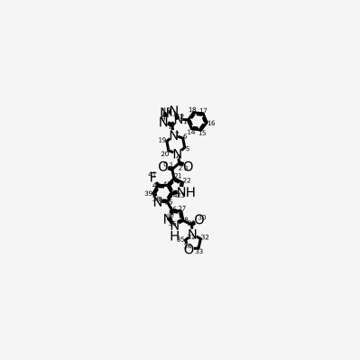 O=C(C(=O)N1CCN(c2nnnn2-c2ccccc2)CC1)c1c[nH]c2c(-c3cc(C(=O)N4CCOC4)[nH]n3)ncc(F)c12